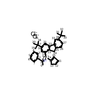 C/[C](c1ccccc1)=[Zr+2](\[C]1=CC=CC1)[c]1cc(C(C)(C)C)cc2c1Cc1ccc(C(C)(C)C)cc1-2.[Cl-].[Cl-]